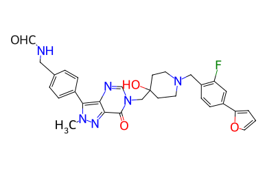 Cn1nc2c(=O)n(CC3(O)CCN(Cc4ccc(-c5ccco5)cc4F)CC3)cnc2c1-c1ccc(CNC=O)cc1